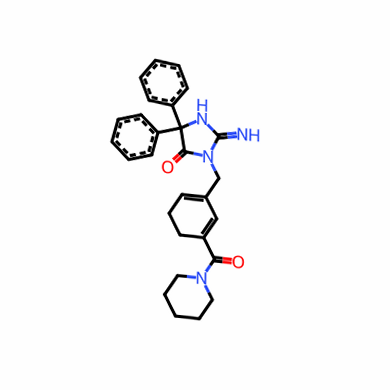 N=C1NC(c2ccccc2)(c2ccccc2)C(=O)N1CC1=CCCC(C(=O)N2CCCCC2)=C1